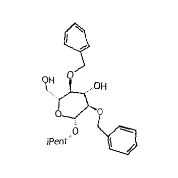 CCC[C@@H](C)O[C@@H]1O[C@H](CO)[C@@H](OCc2ccccc2)[C@H](O)[C@H]1OCc1ccccc1